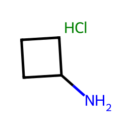 Cl.NC1CCC1